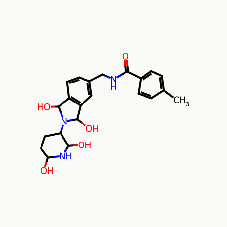 Cc1ccc(C(=O)NCc2ccc3c(c2)C(O)N(C2CCC(O)NC2O)C3O)cc1